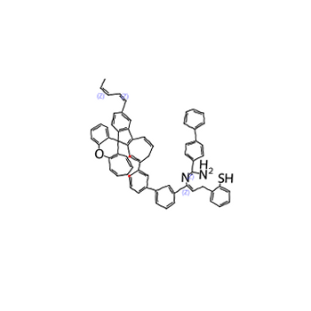 C/C=C\C=C/c1ccc2c(c1)C1=C(C=C(c3cccc(-c4cccc(C(=C/Cc5ccccc5S)/N=C(\N)c5ccc(-c6ccccc6)cc5)c4)c3)CC=C1)C21C2=C(C=CCC=C2)Oc2ccccc21